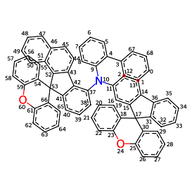 c1ccc(-c2ccccc2N(c2ccc3c(c2)C2(c4ccccc4Oc4ccccc42)c2ccccc2-3)c2cccc3c2-c2ccc4ccccc4c2C32c3ccccc3Oc3ccccc32)cc1